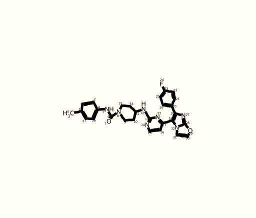 Cc1ccc(NC(=O)N2CCC(Nc3nccc(-c4c(-c5ccc(F)cc5)nc5occn45)n3)CC2)cc1